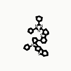 c1ccc(-c2nc(-c3ccccc3)nc(-c3cccc4c3sc3c(-c5cccc6c5c5cc7c(cc5n6-c5ccccc5)sc5ccccc57)cccc34)n2)cc1